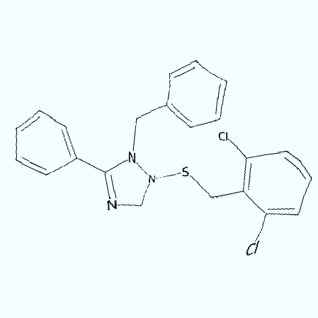 Clc1cccc(Cl)c1CSN1CN=C(c2ccccc2)N1Cc1ccccc1